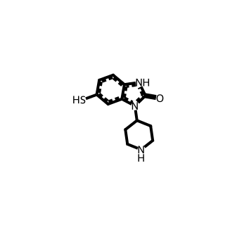 O=c1[nH]c2ccc(S)cc2n1C1CCNCC1